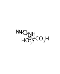 N#[N+]c1ccc(NC(=O)CC(C(=O)O)S(=O)(=O)O)cc1